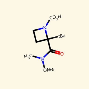 CON(C)C(=O)C1(C(C)(C)C)CCN1C(=O)O